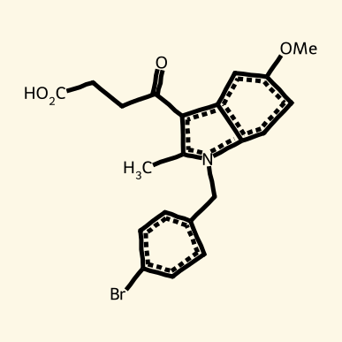 COc1ccc2c(c1)c(C(=O)CCC(=O)O)c(C)n2Cc1ccc(Br)cc1